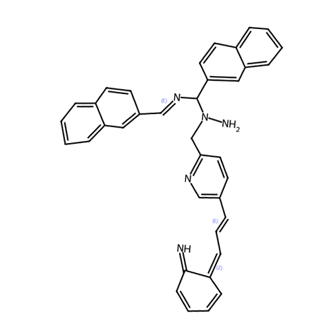 N=C1C=CC=C/C1=C/C=C/c1ccc(CN(N)C(/N=C/c2ccc3ccccc3c2)c2ccc3ccccc3c2)nc1